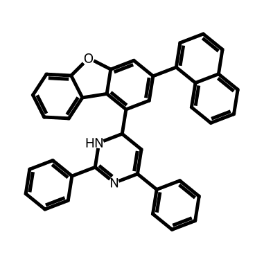 C1=C(c2ccccc2)N=C(c2ccccc2)NC1c1cc(-c2cccc3ccccc23)cc2oc3ccccc3c12